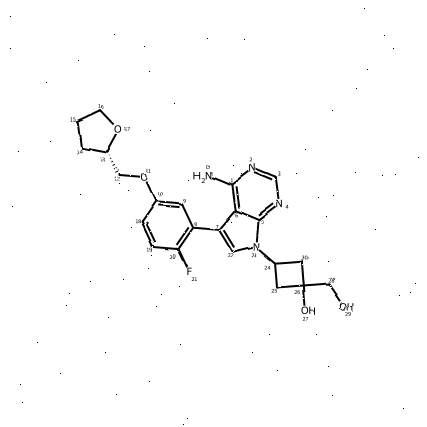 Nc1ncnc2c1c(-c1cc(OC[C@@H]3CCCO3)ccc1F)cn2C1CC(O)(CO)C1